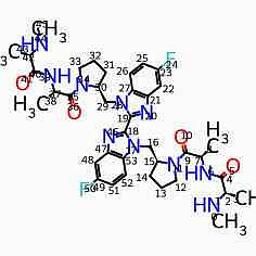 CN[C@H](C)C(=O)N[C@H](C)C(=O)N1CCC[C@H]1Cn1c(-c2nc3cc(F)ccc3n2C[C@@H]2CCCN2C(=O)[C@@H](C)NC(=O)[C@@H](C)NC)nc2cc(F)ccc21